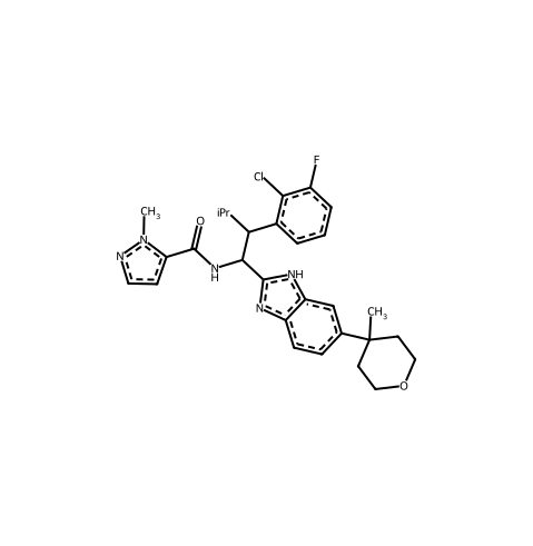 CC(C)C(c1cccc(F)c1Cl)C(NC(=O)c1ccnn1C)c1nc2ccc(C3(C)CCOCC3)cc2[nH]1